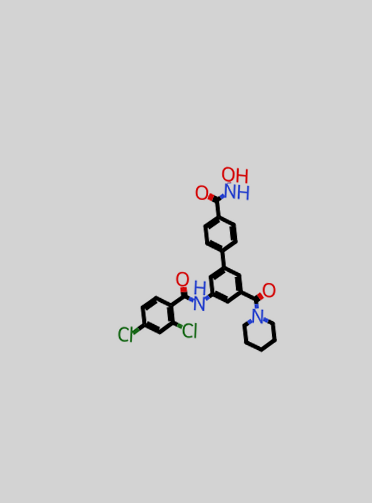 O=C(NO)c1ccc(-c2cc(NC(=O)c3ccc(Cl)cc3Cl)cc(C(=O)N3CCCCC3)c2)cc1